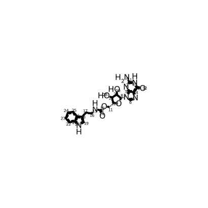 Nc1nc2c(ncn2[C@@H]2O[C@H](COC(=O)NCCc3c[nH]c4ccccc34)C(O)C2O)c(=O)[nH]1